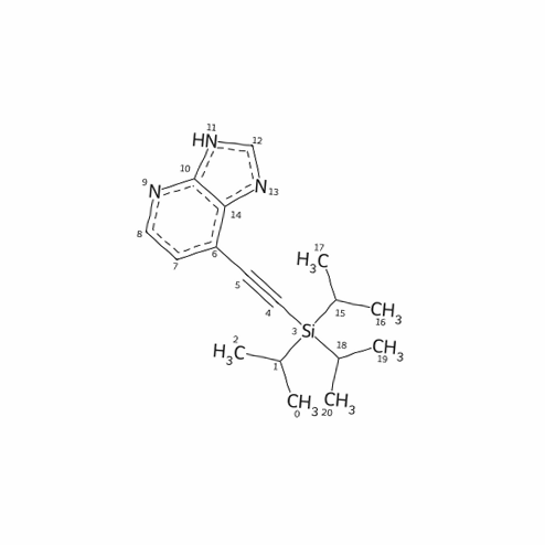 CC(C)[Si](C#Cc1ccnc2[nH]cnc12)(C(C)C)C(C)C